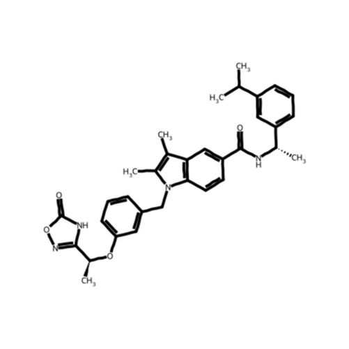 Cc1c(C)n(Cc2cccc(O[C@@H](C)c3noc(=O)[nH]3)c2)c2ccc(C(=O)N[C@@H](C)c3cccc(C(C)C)c3)cc12